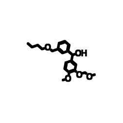 CCCCOCc1cccc(C(O)c2ccc(OC)c(OCOC)c2)c1